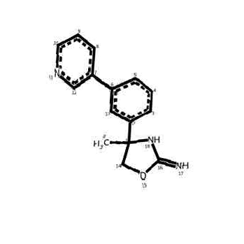 CC1(c2cccc(-c3cccnc3)c2)COC(=N)N1